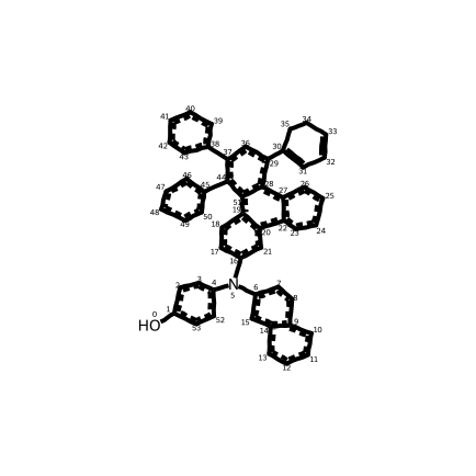 Oc1ccc(N(c2ccc3ccccc3c2)c2ccc3c(c2)c2ccccc2c2c(C4=CC=CCC4)cc(-c4ccccc4)c(-c4ccccc4)c32)cc1